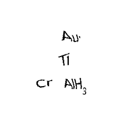 [AlH3].[Au].[Cr].[Ti]